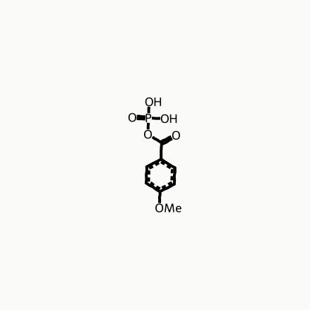 COc1ccc(C(=O)OP(=O)(O)O)cc1